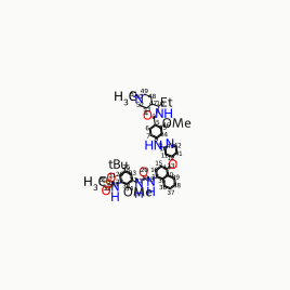 CCC(NC(=O)c1ccc(Nc2cc(Oc3ccc(NC(=O)Nc4cc(C(C)(C)C)cc(NS(C)(=O)=O)c4OC)c4ccccc34)ccn2)cc1OC)C1CCN(C)CC1